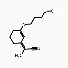 COCCCNC1=C/C(=C(/C)C#N)CCC1